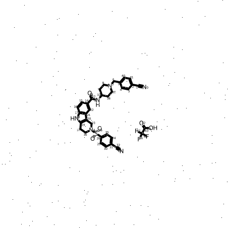 N#Cc1ccc(CN2CCC(NC(=O)c3ccc4[nH]c5c(c4c3)CN(S(=O)(=O)c3ccc(C#N)cc3)CC5)CC2)cc1.O=C(O)C(F)(F)F